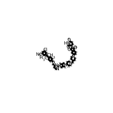 CC(C)(c1ccc(OCc2ccnc(N3CC4CN(C5CCN(CC6CCN(c7ccc8c(c7)C(=O)N(C7CCC(=O)NC7=O)C8=O)CC6)CC5)CC4C3)n2)cc1)c1cc(Cl)cc(C#N)c1